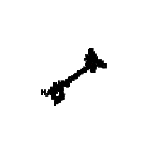 COc1ccc(C2=N[C@H](c3ccc(Cl)cc3)[C@H](c3ccc(Cl)cc3)N2C(=O)N2CCN(CCOCCOCCOCCOCCC(=O)NCCn3nc4c(c3C#N)-c3cnc(N)c(c3)O[C@H](C)c3cc(F)ccc3C(=O)N(C)C4)CC2)c(OC(C)C)c1